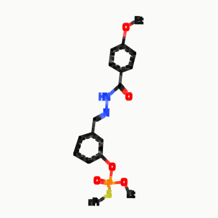 CCCSP(=O)(OCC)Oc1cccc(C=NNC(=O)c2ccc(OCC)cc2)c1